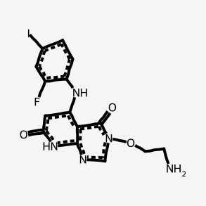 NCCOn1cnc2[nH]c(=O)cc(Nc3ccc(I)cc3F)c2c1=O